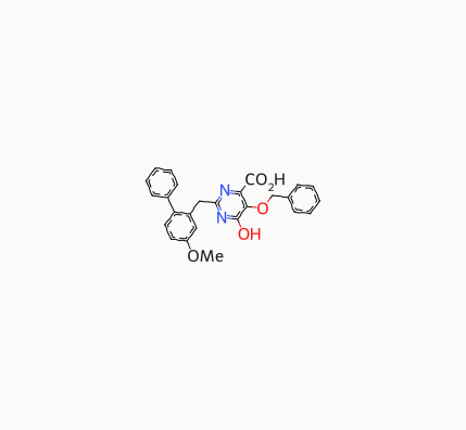 COc1ccc(-c2ccccc2)c(Cc2nc(O)c(OCc3ccccc3)c(C(=O)O)n2)c1